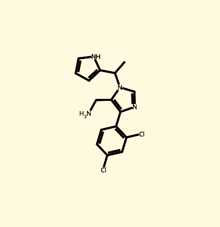 CC(c1ccc[nH]1)n1cnc(-c2ccc(Cl)cc2Cl)c1CN